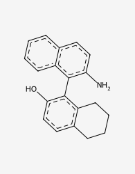 Nc1ccc2ccccc2c1-c1c(O)ccc2c1CCCC2